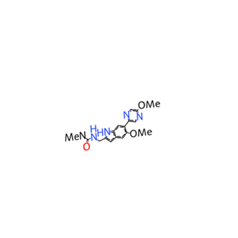 CNC(=O)NCc1cc2cc(OC)c(-c3cnc(OC)cn3)cc2[nH]1